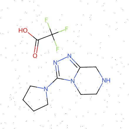 C1CCN(c2nnc3n2CCNC3)C1.O=C(O)C(F)(F)F